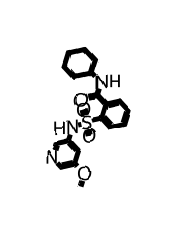 COc1cncc(NS(=O)(=O)c2ccccc2C(=O)NC2CCCCC2)c1